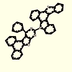 c1ccc(-c2nc(-n3c4ccccc4c4c5c6ccccc6sc5c5ccccc5c43)nc3oc4c5ccccc5c5ccccc5c4c23)cc1